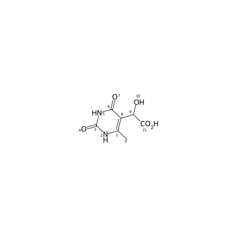 Cc1[nH]c(=O)[nH]c(=O)c1C(O)C(=O)O